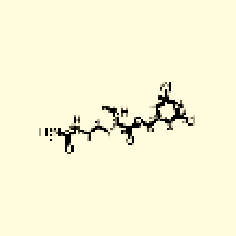 CN[C@@H](CCCNC(N)=O)C(=O)OCc1cc(Cl)nc(Cl)c1